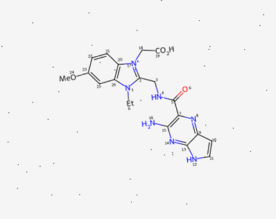 CCn1c(CNC(=O)c2nc3cc[nH]c3nc2N)[n+](CC(=O)O)c2ccc(OC)cc21